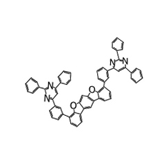 c1ccc(-c2cc(-c3cccc(-c4cccc5c4oc4cc6oc7c(-c8cccc(-c9cc(-c%10ccccc%10)nc(-c%10ccccc%10)n9)c8)cccc7c6cc45)c3)nc(-c3ccccc3)n2)cc1